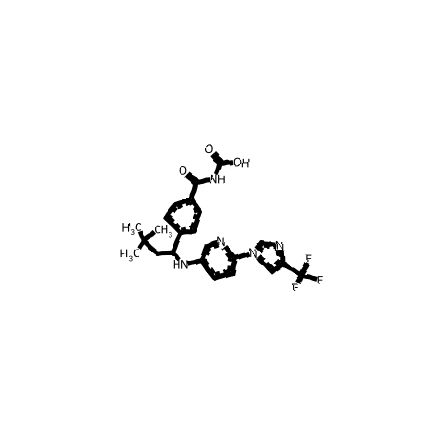 CC(C)(C)CC(Nc1ccc(-n2cnc(C(F)(F)F)c2)nc1)c1ccc(C(=O)NC(=O)O)cc1